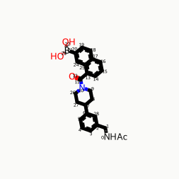 CC(=O)NCc1cccc(C2CCN(C(=O)c3cccc4ccc(B(O)O)cc34)CC2)c1